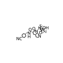 Cn1c(=O)c(C(=O)NCc2ccc(C#N)cc2)cc2ccnc(OCC3(N(O)SN=S(C)C)CC3)c21